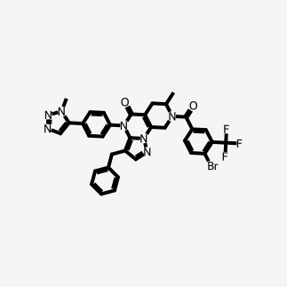 CC1Cc2c(n3ncc(Cc4ccccc4)c3n(-c3ccc(-c4cnnn4C)cc3)c2=O)CN1C(=O)c1ccc(Br)c(C(F)(F)F)c1